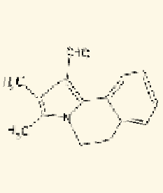 Cc1c(C=O)c2n(c1C)CCc1ccccc1-2